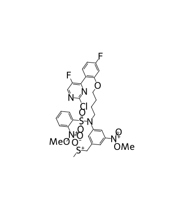 CO[N+](=O)c1cc(C[S+](C)[O-])cc(N(CCCCOc2cc(F)ccc2-c2nc(Cl)ncc2F)S(=O)(=O)c2ccccc2[N+](=O)OC)c1